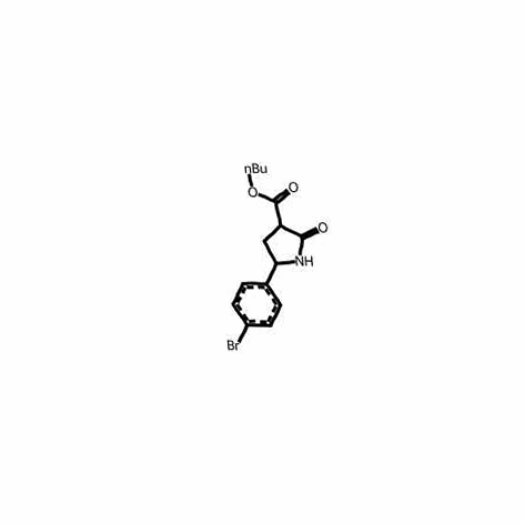 CCCCOC(=O)C1CC(c2ccc(Br)cc2)NC1=O